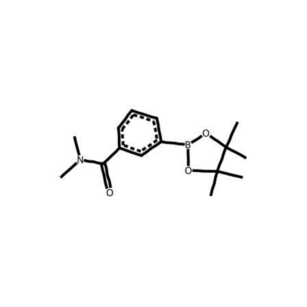 CN(C)C(=O)c1cccc(B2OC(C)(C)C(C)(C)O2)c1